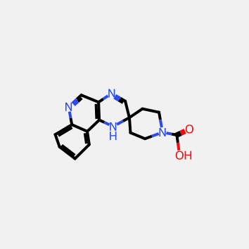 O=C(O)N1CCC2(C=Nc3cnc4ccccc4c3N2)CC1